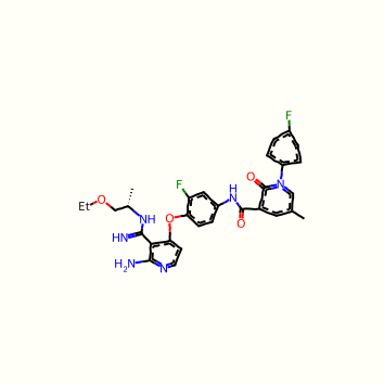 CCOC[C@H](C)NC(=N)c1c(Oc2ccc(NC(=O)c3cc(C)cn(-c4ccc(F)cc4)c3=O)cc2F)ccnc1N